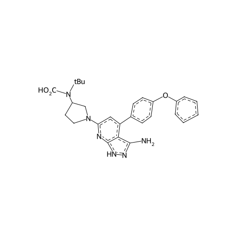 CC(C)(C)N(C(=O)O)C1CCN(c2cc(-c3ccc(Oc4ccccc4)cc3)c3c(N)n[nH]c3n2)C1